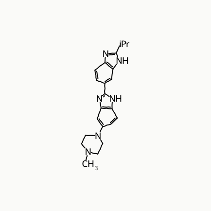 CC(C)c1nc2ccc(-c3nc4cc(N5CCN(C)CC5)ccc4[nH]3)cc2[nH]1